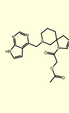 CC(=O)OCC(=O)N1C=CCC12CCCN(Cc1ncnc3[nH]ccc13)C2